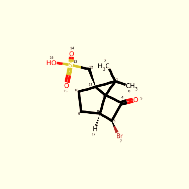 CC1(C)C23C(=O)[C@@H](Br)[C@H]2CC[C@]13CS(=O)(=O)O